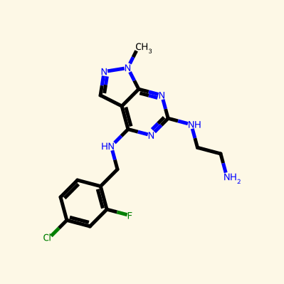 Cn1ncc2c(NCc3ccc(Cl)cc3F)nc(NCCN)nc21